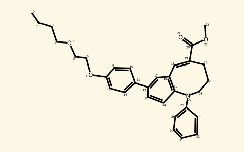 CCCCOCCOc1ccc(-c2ccc3c(c2)C=C(C(=O)OC)CCCN3c2ccccc2)cc1